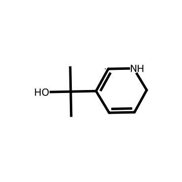 CC(C)(O)C1=[C]NCC=C1